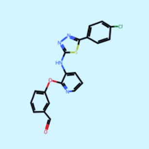 O=Cc1cccc(Oc2ncccc2Nc2nnc(-c3ccc(Cl)cc3)s2)c1